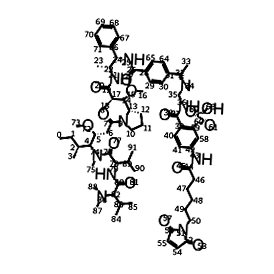 CC[C@H](C)[C@@H]([C@@H](CC(=O)N1CCC[C@H]1[C@H](OC)[C@@H](C)C(=O)N[C@H](C)[C@@H](NC(=O)c1ccc(/C(C)=N\CNC(=O)c2ccc(NC(=O)CCCCCN3C(=O)C=CC3=O)cc2S(=O)(=O)O)cc1)c1ccccc1)OC)N(C)C(=O)[C@@H](NC(=O)C(C(C)C)N(C)C)C(C)C